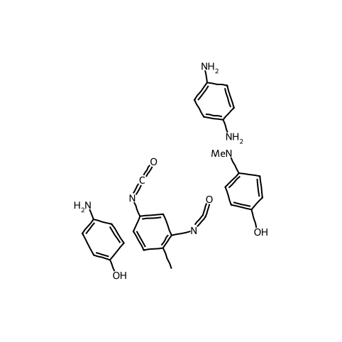 CNc1ccc(O)cc1.Cc1ccc(N=C=O)cc1N=C=O.Nc1ccc(N)cc1.Nc1ccc(O)cc1